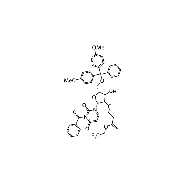 C=C(CCOC1C(O)[C@@H](COC(c2ccccc2)(c2ccc(OC)cc2)c2ccc(OC)cc2)O[C@H]1n1ccc(=O)n(C(=O)c2ccccc2)c1=O)OCC(F)(F)F